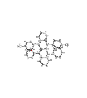 N#Cc1ccc(-c2c3ccccc3c(-c3ccc(C#N)cc3)c3c(-c4ccccc4)c4ccccc4c(-c4ccccc4)c23)cc1